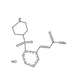 COC(=O)/C=C/c1ccccc1S(=O)(=O)C1CCNCC1.Cl